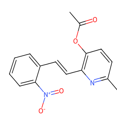 CC(=O)Oc1ccc(C)nc1C=Cc1ccccc1[N+](=O)[O-]